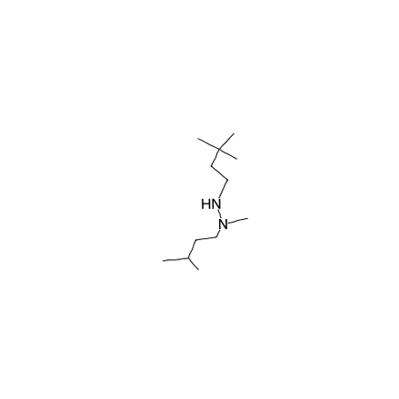 CC(C)CCN(C)NCCC(C)(C)C